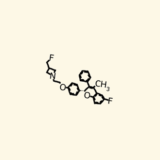 CC1=C(c2ccccc2)[C@@H](c2ccc(OCCN3CC(CF)C3)cc2)Oc2ccc(F)cc21